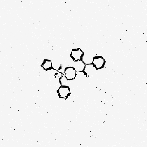 O=C(C(c1ccccc1)c1ccccc1)N1CC[N+](Cc2ccccc2)(S(=O)(=O)c2cccs2)CC1